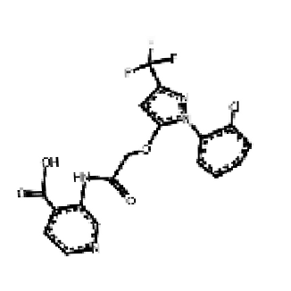 O=C(COc1cc(C(F)(F)F)nn1-c1ccccc1Cl)Nc1cnccc1C(=O)O